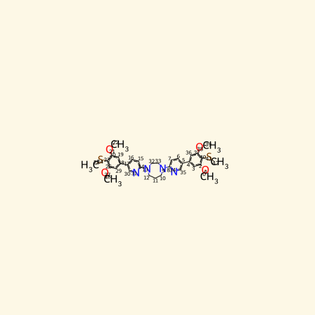 COc1cc(-c2ccc(N3CCCN(c4ccc(-c5cc(OC)c(SC)c(OC)c5)cn4)CC3)nc2)cc(OC)c1SC